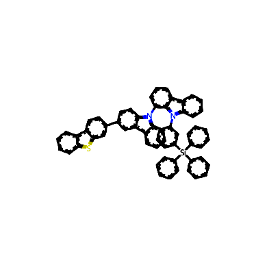 c1ccc([Si](c2ccccc2)(c2ccccc2)c2cccc(-n3c4ccccc4c4cccc(-n5c6ccccc6c6cc(-c7ccc8c(c7)sc7ccccc78)ccc65)c43)c2)cc1